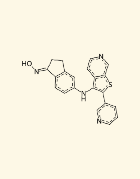 ON=C1CCc2cc(Nc3c(-c4cccnc4)sc4cnccc34)ccc21